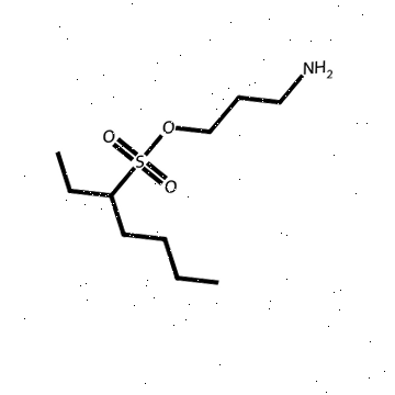 CCCCC(CC)S(=O)(=O)OCCCN